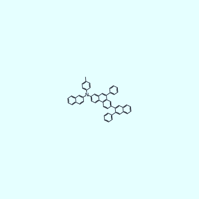 Cc1ccc(N(c2ccc3ccccc3c2)c2ccc3c(c2)cc(-c2ccccc2)c2cc(-c4cc5ccccc5cc4-c4ccccc4)ccc23)cc1